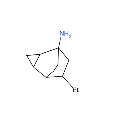 CCC1CC2(N)CCC1C1CC12